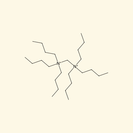 CCCC[N+](CCCC)(CCCC)C[N+](CCCC)(CCCC)CCCC